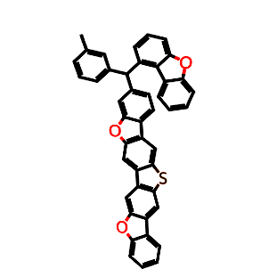 Cc1cccc(C(c2ccc3c(c2)oc2cc4c(cc23)sc2cc3c(cc24)oc2ccccc23)c2cccc3oc4ccccc4c23)c1